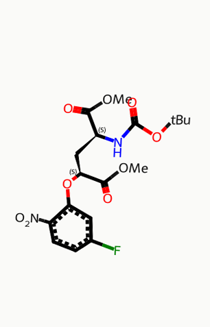 COC(=O)[C@H](C[C@H](Oc1cc(F)ccc1[N+](=O)[O-])C(=O)OC)NC(=O)OC(C)(C)C